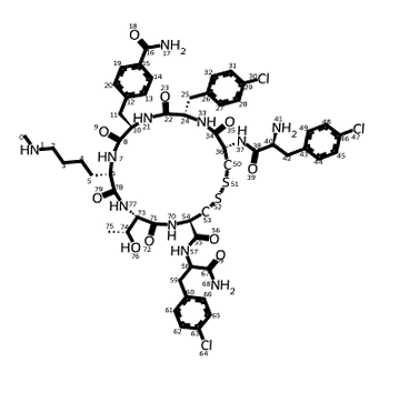 CNCCCC[C@@H]1NC(=O)[C@@H](Cc2ccc(C(N)=O)cc2)NC(=O)[C@H](Cc2ccc(Cl)cc2)NC(=O)[C@H](NC(=O)[C@@H](N)Cc2ccc(Cl)cc2)CSSC[C@@H](C(=O)NC(Cc2ccc(Cl)cc2)C(N)=O)NC(=O)[C@H]([C@@H](C)O)NC1=O